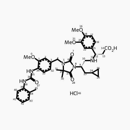 COc1cc(CN2C(=O)N([C@H](CN[C@@H](CC(=O)O)c3ccc(OC)c(OC)c3)CC3CC3)C(=O)C2(C)C)ccc1NC(=O)Nc1ccccc1C.Cl